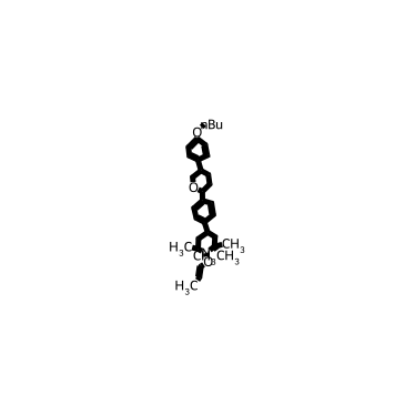 C/C=C/ON1C(C)(C)CC(c2ccc(C3CCC(c4ccc(OCCCC)cc4)CO3)cc2)CC1(C)C